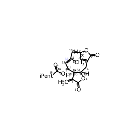 C=C1C(=O)O[C@H]2CC3=C[C@@H](C/C(C)=C/[C@@H](OC(=O)C(C)CCC)[C@H]12)OC3=O